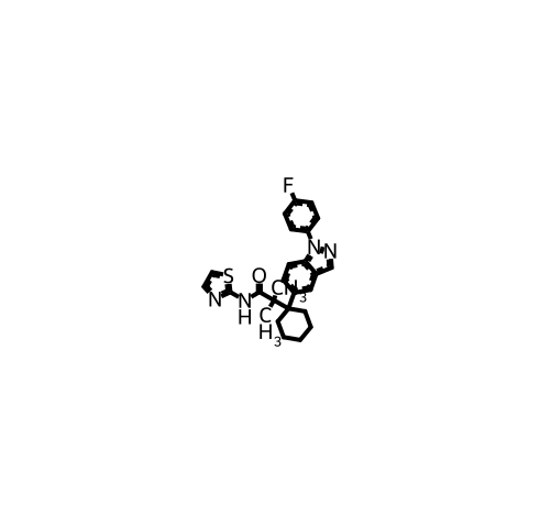 CC(C)(C(=O)Nc1nccs1)C1(c2ccc3c(cnn3-c3ccc(F)cc3)c2)CCCCC1